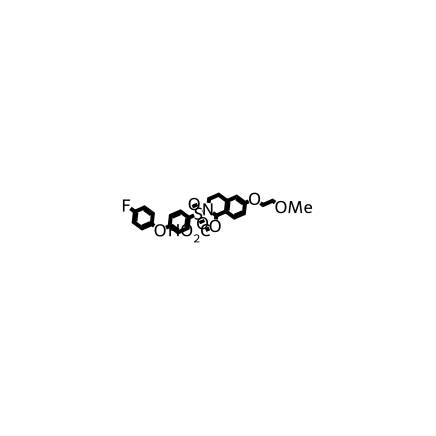 COCCOc1ccc2c(c1)CCN(S(=O)(=O)c1ccc(Oc3ccc(F)cc3)cc1)C2OC(=O)O